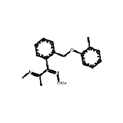 CN=C(C)C(=NOC)c1ccccc1COc1ccccc1C